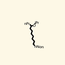 CCCCCCCCCCCCCCCCC(CCC)OC(C)C